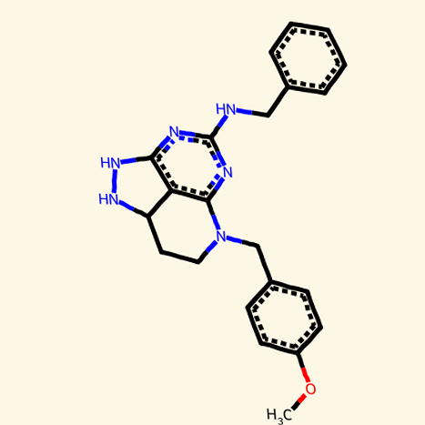 COc1ccc(CN2CCC3NNc4nc(NCc5ccccc5)nc2c43)cc1